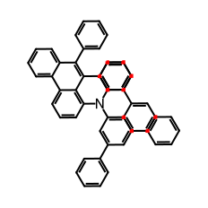 c1ccc(-c2cc(-c3ccccc3)cc(N(c3ccccc3-c3ccccc3)c3cccc4c3c(-c3ccccc3)c(-c3ccccc3)c3ccccc34)c2)cc1